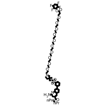 CCCN(CCC)C(=O)C1=Cc2ccc(-c3cccc(S(=O)(=O)N4CC5(CCN(CCOCCOCCOCCOCCOCCOCCOCCOCCOCCOCCC(=O)Oc6c(F)c(F)cc(F)c6F)C5)C4)c3)cc2N=C(N)C1